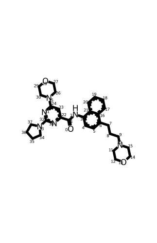 O=C(Nc1ccc(CCCN2CCOCC2)c2ccccc12)c1cc(N2CCOCC2)nc(N2CCCC2)n1